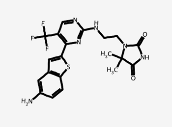 CC1(C)C(=O)NC(=O)N1CCNc1ncc(C(F)(F)F)c(-c2cc3cc(N)ccc3s2)n1